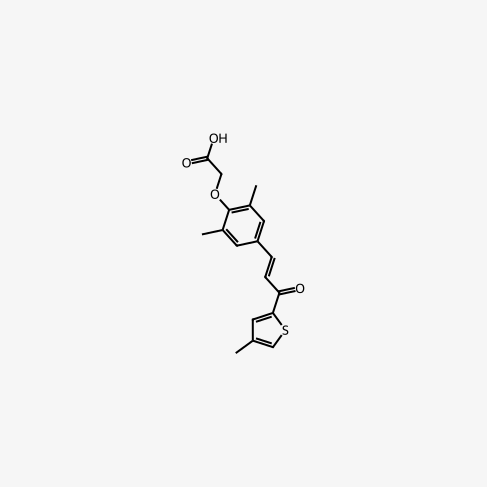 Cc1csc(C(=O)C=Cc2cc(C)c(OCC(=O)O)c(C)c2)c1